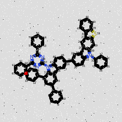 c1ccc(-c2cc(-c3ccccc3)c3c(c2)c2cc(-c4ccc5c(c4)c4cc6c(cc4n5-c4ccccc4)sc4ccccc46)ccc2n3-c2nc(-c3ccccc3)nc(-c3ccccc3)n2)cc1